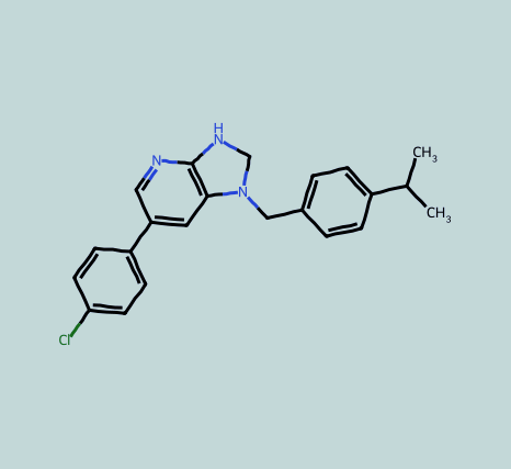 CC(C)c1ccc(CN2CNc3ncc(-c4ccc(Cl)cc4)cc32)cc1